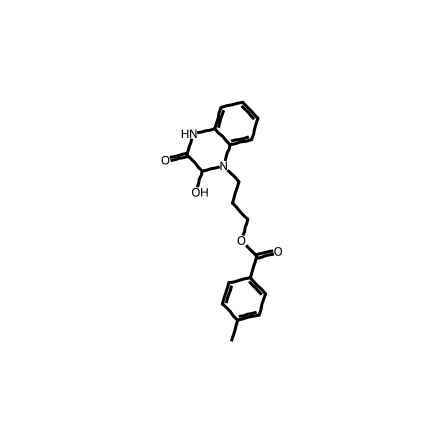 Cc1ccc(C(=O)OCCCN2c3ccccc3NC(=O)C2O)cc1